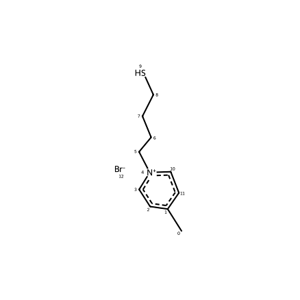 Cc1cc[n+](CCCCS)cc1.[Br-]